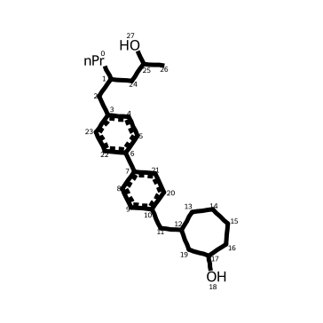 CCCC(Cc1ccc(-c2ccc(CC3CCCCC(O)C3)cc2)cc1)CC(C)O